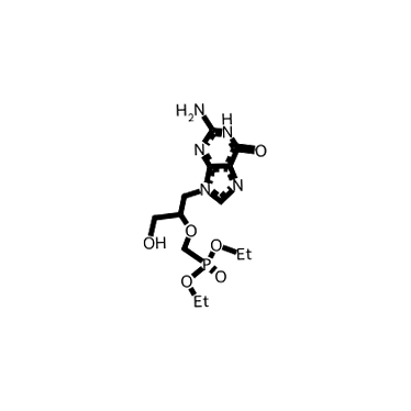 CCOP(=O)(COC(CO)Cn1cnc2c(=O)[nH]c(N)nc21)OCC